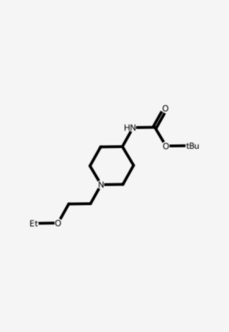 [CH2]COCCN1CCC(NC(=O)OC(C)(C)C)CC1